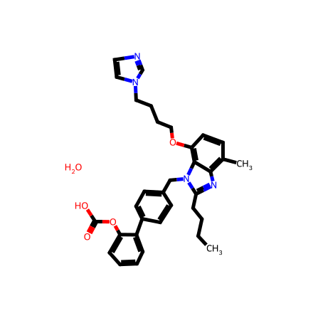 CCCCc1nc2c(C)ccc(OCCCCn3ccnc3)c2n1Cc1ccc(-c2ccccc2OC(=O)O)cc1.O